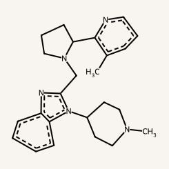 Cc1cccnc1C1CCCN1Cc1nc2ccccc2n1C1CCN(C)CC1